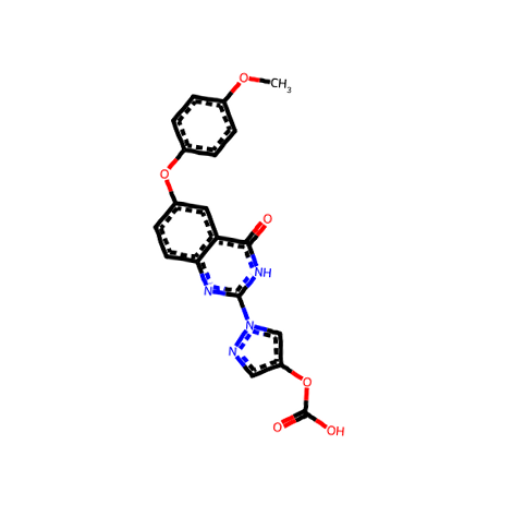 COc1ccc(Oc2ccc3nc(-n4cc(OC(=O)O)cn4)[nH]c(=O)c3c2)cc1